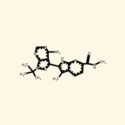 CNC(=O)c1ccc2c(C)c(-c3nn(C(C)(C)C)c4ncnc(N)c34)[nH]c2n1